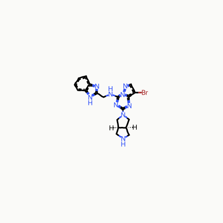 Brc1cnn2c(NCc3nc4ccccc4[nH]3)nc(N3C[C@H]4CNC[C@H]4C3)nc12